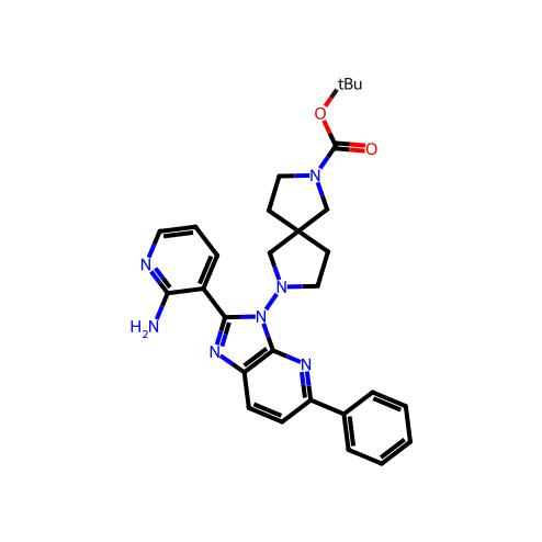 CC(C)(C)OC(=O)N1CCC2(CCN(n3c(-c4cccnc4N)nc4ccc(-c5ccccc5)nc43)C2)C1